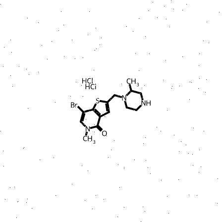 CC1CNCCN1Cc1cc2c(=O)n(C)cc(Br)c2s1.Cl.Cl